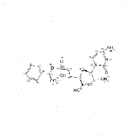 C[C@H](O)[C@@H](O[C@@H](CO)COP(=O)(O)O[C@@H](C(=O)O)c1ccccc1)n1ccc(N)nc1=O